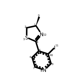 C[C@@H]1CSC(c2ccncc2I)=N1